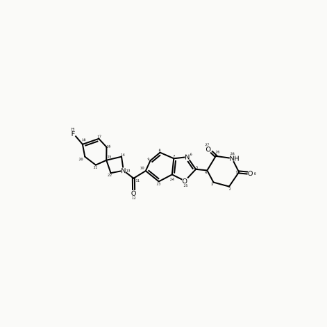 O=C1CCC(c2nc3ccc(C(=O)N4CC5(CC=C(F)CC5)C4)cc3o2)C(=O)N1